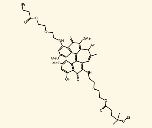 CCOC(C)(C)CCC(=O)OCCOCCNc1c2c3c4c(c(OC)c(=O)c5c(NCCOCCOC(=O)CCC(C)C)cc(OC)c(c6c(OC)cc(O)c(c1=O)c63)c54)C(C(C)=O)C(C)=C2